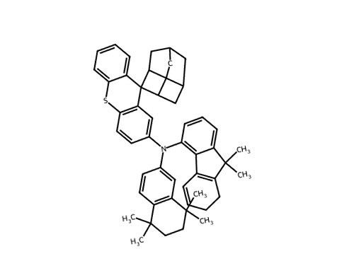 CC1(C)CCC(C)(C)c2cc(N(c3ccc4c(c3)C3(c5ccccc5S4)C4CC5CC6CC3C64C5)c3cccc4c3C3=C(CCC=C3)C4(C)C)ccc21